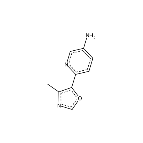 Cc1ncoc1-c1ccc(N)cn1